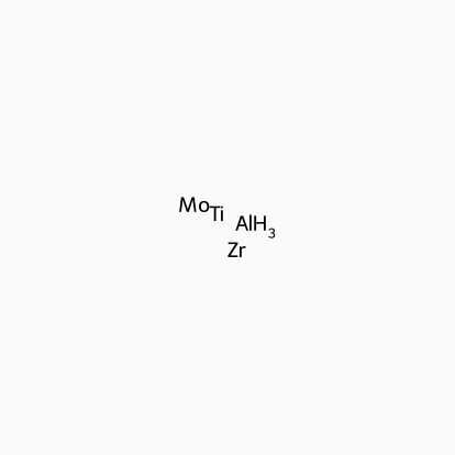 [AlH3].[Mo].[Ti].[Zr]